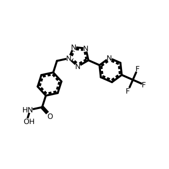 O=C(NO)c1ccc(Cn2nnc(-c3ccc(C(F)(F)F)cn3)n2)cc1